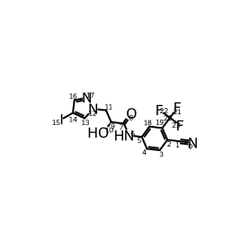 N#Cc1ccc(NC(=O)[C@@H](O)Cn2cc(I)cn2)cc1C(F)(F)F